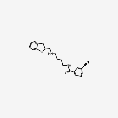 N#Cc1cccc(C(=O)NCCCCNCC2Cc3ccccc3O2)c1